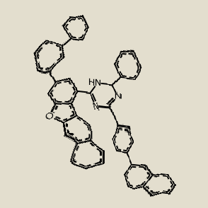 c1ccc(-c2cccc(-c3cc(C4=NC(c5ccc(-c6ccc7ccccc7c6)cc5)=NC(c5ccccc5)N4)c4c(c3)oc3cc5ccccc5cc34)c2)cc1